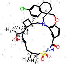 CO[C@@]1([C@H](C)O)/C=C/C[C@H](C)[C@@H](C)S(=O)(=O)NC(=O)c2ccc3c(c2)N(C[C@@H]2CC[C@H]21)C[C@@]1(CCCc2cc(Cl)ccc21)CO3